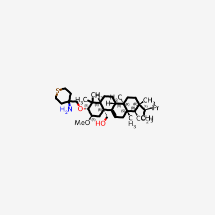 CO[C@@H]1C[C@]2(CO)C3=CC[C@@]4(C)[C@H](C(=O)O)[C@@](C)([C@H](C)C(C)C)CC[C@]4(C)[C@H]3CC[C@H]2C(C)(C)[C@H]1OCC1(N)CCSCC1